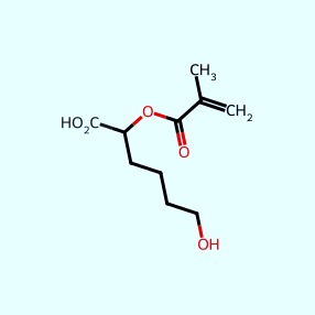 C=C(C)C(=O)OC(CCCCO)C(=O)O